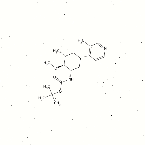 CO[C@H]1[C@H](C)C[C@H](c2ccncc2N)C[C@@H]1NC(=O)OC(C)(C)C